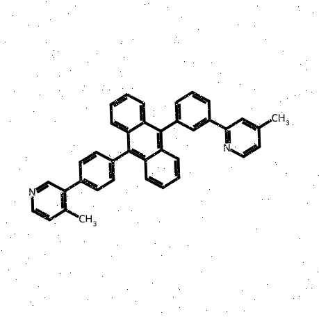 Cc1ccnc(-c2cccc(-c3c4ccccc4c(-c4ccc(-c5cnccc5C)cc4)c4ccccc34)c2)c1